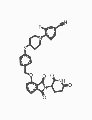 N#Cc1ccc(N2CCC(Sc3ccc(COc4cccc5c4C(=O)N([C@@H]4CCC(=O)NC4=O)C5=O)cc3)CC2)c(F)c1